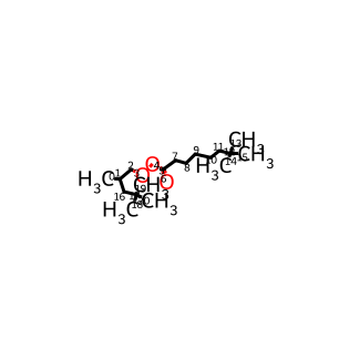 CC(COOC(=O)CCCCCC(C)(C)C)CC(C)(C)C